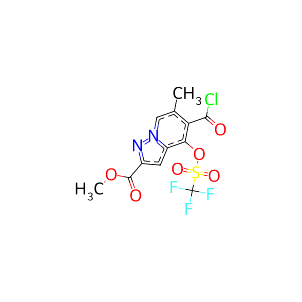 COC(=O)c1cc2c(OS(=O)(=O)C(F)(F)F)c(C(=O)Cl)c(C)cn2n1